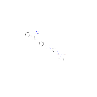 CC[C@@H](C(C)C)N(NC=O)C(=O)Nc1ccc(N2CCN(c3ccc(OC[C@@H]4CO[C@@](Cn5cncn5)(c5ccc(F)cc5F)C4)cc3)CC2)cc1